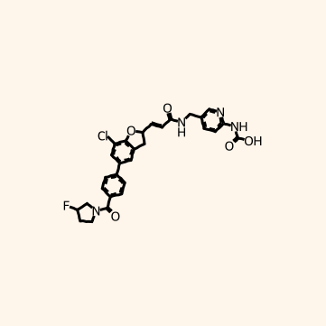 O=C(O)Nc1ccc(CNC(=O)C=CC2Cc3cc(-c4ccc(C(=O)N5CCC(F)C5)cc4)cc(Cl)c3O2)cn1